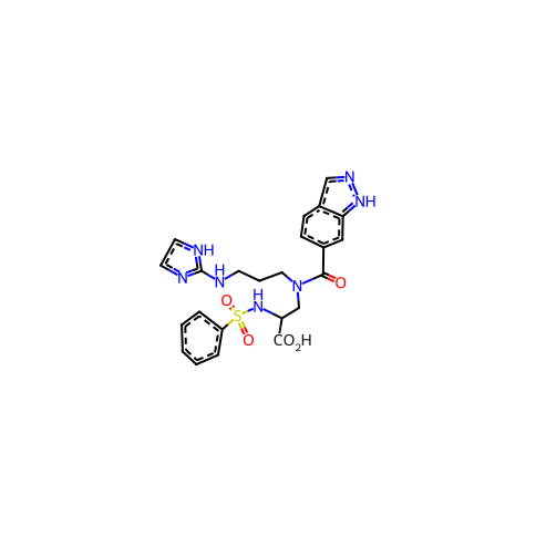 O=C(O)C(CN(CCCNc1ncc[nH]1)C(=O)c1ccc2cn[nH]c2c1)NS(=O)(=O)c1ccccc1